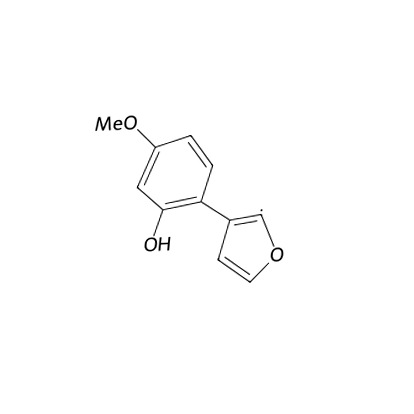 COc1ccc(-c2[c]occ2)c(O)c1